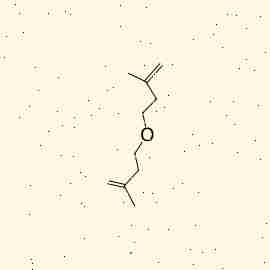 C=C(C)CCOCCC(=C)C